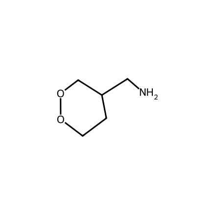 NCC1CCOOC1